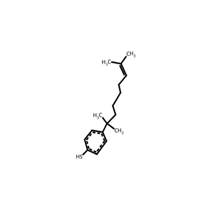 CC(C)=CCCCCC(C)(C)c1ccc(S)cc1